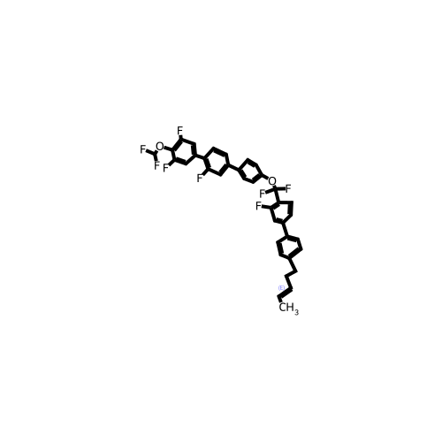 C/C=C/CCc1ccc(-c2ccc(C(F)(F)Oc3ccc(-c4ccc(-c5cc(F)c(OC(F)F)c(F)c5)c(F)c4)cc3)c(F)c2)cc1